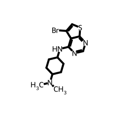 CN(C)C1CCC(Nc2ncnc3scc(Br)c23)CC1